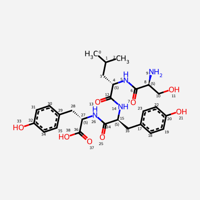 CC(C)C[C@H](NC(=O)[C@@H](N)CO)C(=O)N[C@@H](Cc1ccc(O)cc1)C(=O)N[C@@H](Cc1ccc(O)cc1)C(=O)O